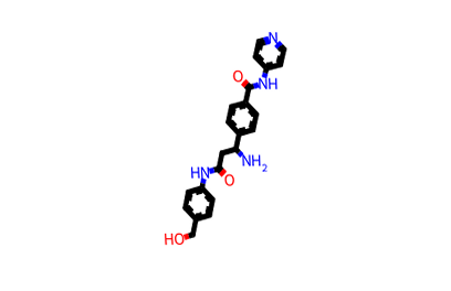 NC(CC(=O)Nc1ccc(CO)cc1)c1ccc(C(=O)Nc2ccncc2)cc1